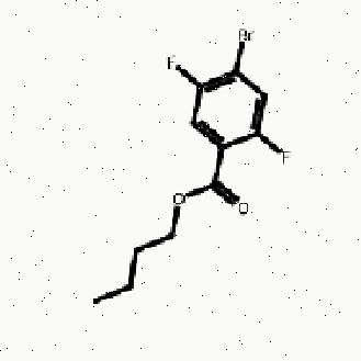 CCCCOC(=O)c1cc(F)c(Br)cc1F